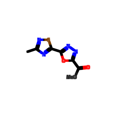 COC(=O)c1nnc(-c2nc(C)ns2)o1